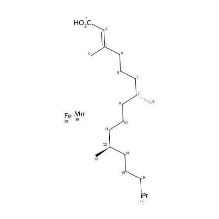 C/C(=C\C(=O)O)CCC[C@H](C)CCC[C@H](C)CCCC(C)C.[Fe].[Mn]